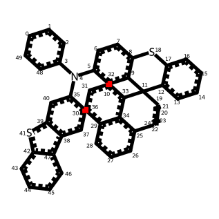 c1ccc(N(c2ccc3c(c2)C2(c4ccccc4S3)c3ccccc3-c3cccc4cccc2c34)c2ccc3c(c2)sc2ccccc23)cc1